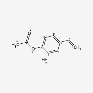 C=Cc1ccc(OC(C)=O)cc1.F